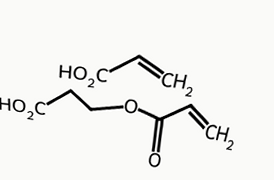 C=CC(=O)O.C=CC(=O)OCCC(=O)O